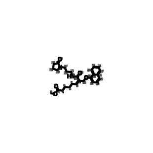 COC(=O)CCCCC=C(COc1cccc2ccccc12)C(=O)NCCCN1CCCC1=O